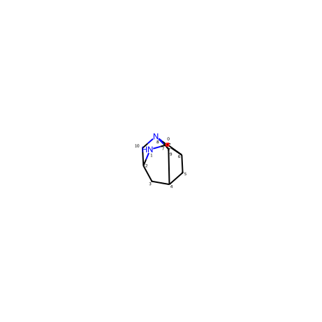 C1NC2CC3CC1CN(C3)C2